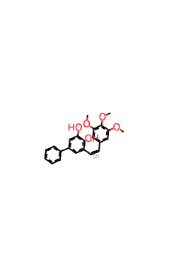 COc1cc(/C=C\c2cc(-c3ccccc3)cc(O)c2O)cc(OC)c1OC